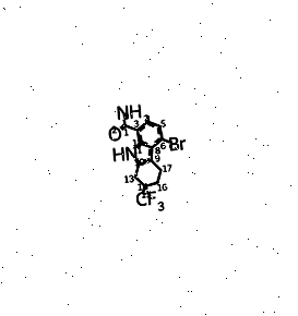 NC(=O)c1ccc(Br)c2c3c([nH]c12)CC(C(F)(F)F)CC3